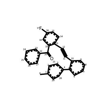 Cc1ccc(-c2ccccc2C#Cc2ccc(F)cc2C(=O)c2ccccc2)cc1